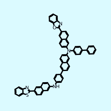 c1ccc(-c2ccc(N(c3ccc4cc(-c5ccc(Nc6ccc7cc(-c8nc9ccccc9s8)ccc7c6)cc5)ccc4c3)c3ccc4cc(-c5nc6ccccc6o5)ccc4c3)cc2)cc1